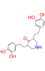 O=C1C(CCc2ccc(O)c(O)c2)CNCC1CCc1ccc(O)c(O)c1